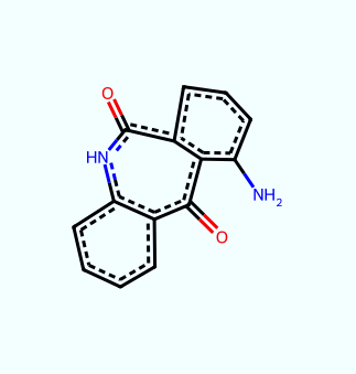 Nc1cccc2c(=O)[nH]c3ccccc3c(=O)c12